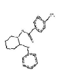 O=C(OC1CCCCC1[Se]c1ccccc1)c1ccc(C(F)(F)F)cc1